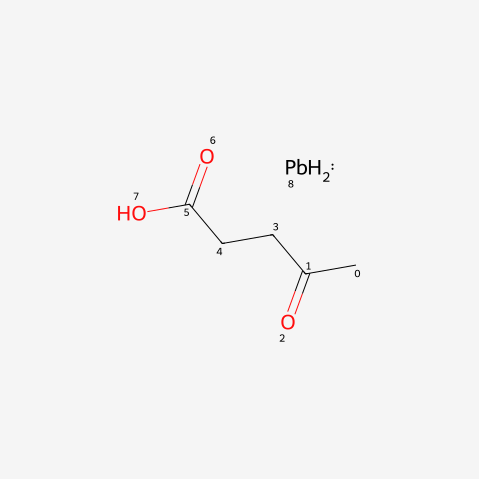 CC(=O)CCC(=O)O.[PbH2]